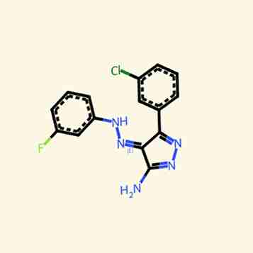 NC1=NN=C(c2cccc(Cl)c2)/C1=N\Nc1cccc(F)c1